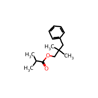 CC(C)C(=O)OCC(C)(C)Cc1ccccc1